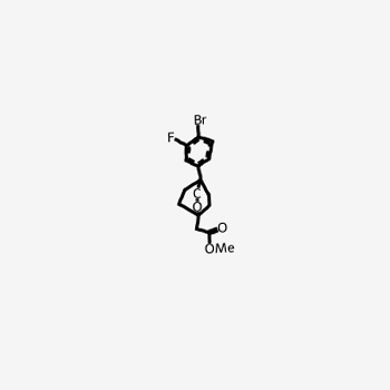 COC(=O)CC12CCC(c3ccc(Br)c(F)c3)(CC1)CO2